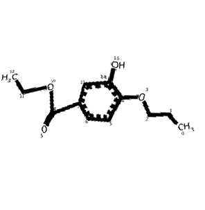 CCCOc1ccc(C(=O)OCC)cc1O